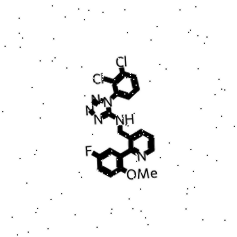 COc1ccc(F)cc1-c1ncccc1CNc1nnnn1-c1cccc(Cl)c1Cl